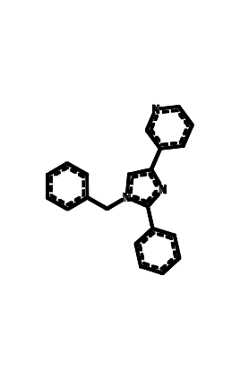 c1ccc(Cn2cc(-c3cccnc3)nc2-c2ccccc2)cc1